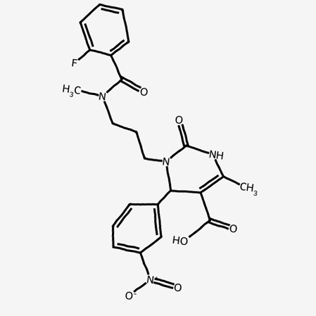 CC1=C(C(=O)O)C(c2cccc([N+](=O)[O-])c2)N(CCCN(C)C(=O)c2ccccc2F)C(=O)N1